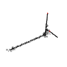 CCCCCCCCCCCCCCOC(=O)OCC[C@H](CSC[C@H](N)C(=O)N[C@@H](CO)C(=O)NCCOCCOCCOCCOCCOCCOCCOCCOCCOCCOCCOCCOCCC(=O)NCC(N)=O)OC(=O)OCCCCCCCCCCCCCC